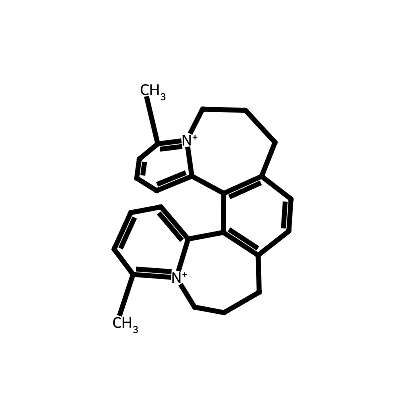 Cc1cccc2[n+]1CCCc1ccc3c(c1-2)-c1cccc(C)[n+]1CCC3